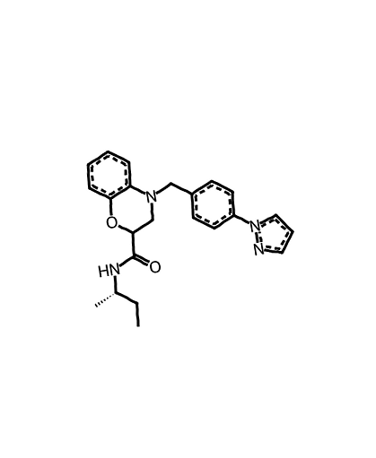 CC[C@H](C)NC(=O)C1CN(Cc2ccc(-n3cccn3)cc2)c2ccccc2O1